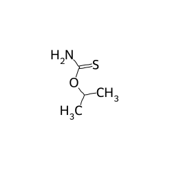 CC(C)OC(N)=S